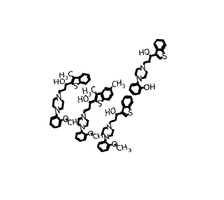 COc1ccccc1N1CCN(CCC(O)c2csc3ccccc23)CC1.COc1ccccc1N1CCN(CCC(O)c2sc3ccc(C)cc3c2C)CC1.COc1ccccc1N1CCN(CCC(O)c2sc3ccccc3c2C)CC1.Oc1ccccc1N1CCN(CCC(O)c2csc3ccccc23)CC1